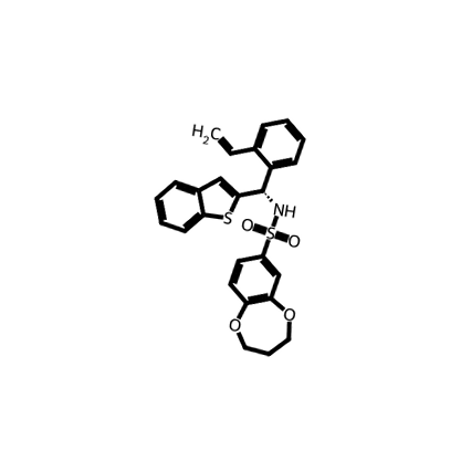 C=Cc1ccccc1[C@H](NS(=O)(=O)c1ccc2c(c1)OCCCO2)c1cc2ccccc2s1